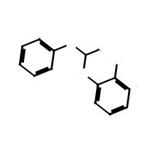 CCCC(Oc1ccccc1)Oc1ccccc1Br